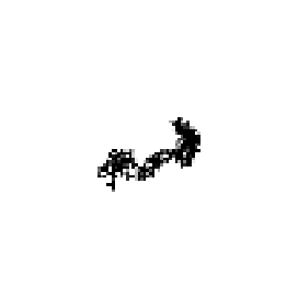 CN(C(=O)CCCNc1cccc2c1C(=O)N(C1CCC(=O)NC1=O)C2=O)C1CCN(C[C@H]2CC[C@H](n3cc(NC(=O)c4cnn5ccc(N6CCOCC6)nc45)c(C(F)F)n3)CC2)CC1